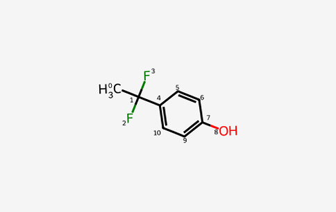 CC(F)(F)c1ccc(O)cc1